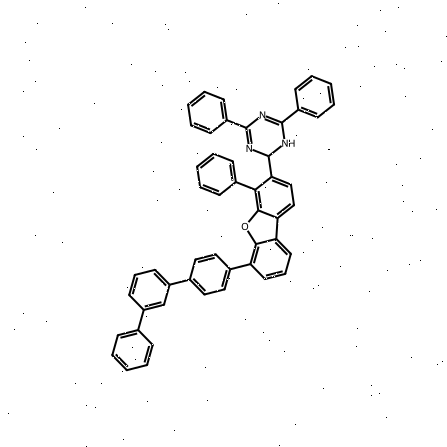 c1ccc(C2=NC(c3ccc4c(oc5c(-c6ccc(-c7cccc(-c8ccccc8)c7)cc6)cccc54)c3-c3ccccc3)NC(c3ccccc3)=N2)cc1